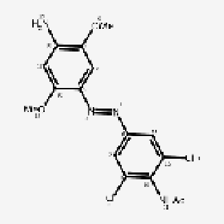 COc1cc(/N=N/c2cc(Cl)c(NC(C)=O)c(Cl)c2)c(OC)cc1N